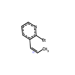 C/C=C\c1cccnc1CC